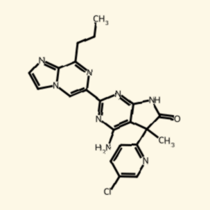 CCCc1nc(-c2nc(N)c3c(n2)NC(=O)C3(C)c2ccc(Cl)cn2)cn2ccnc12